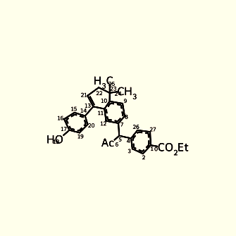 CCOC(=O)c1ccc(C(C(C)=O)c2ccc3c(c2)C(c2ccc(O)cc2)=CCC3(C)C)cc1